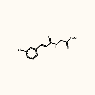 COC(=O)CNC(=O)C=Cc1cccc(Cl)c1